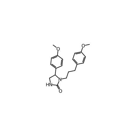 COc1ccc(CCCN2C(=O)NCC2c2ccc(OC)cc2)cc1